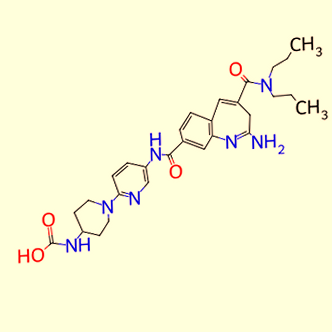 CCCN(CCC)C(=O)C1=Cc2ccc(C(=O)Nc3ccc(N4CCC(NC(=O)O)CC4)nc3)cc2N=C(N)C1